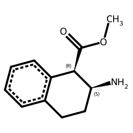 COC(=O)[C@@H]1c2ccccc2CC[C@@H]1N